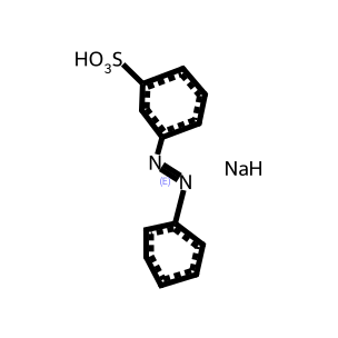 O=S(=O)(O)c1cccc(/N=N/c2ccccc2)c1.[NaH]